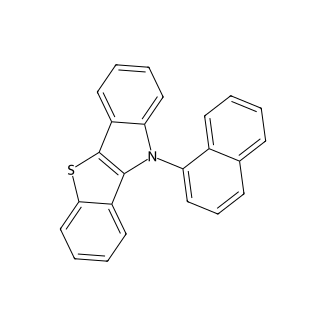 c1ccc2c(-n3c4ccccc4c4sc5ccccc5c43)cccc2c1